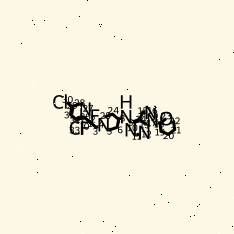 FC(F)(CN1CCC(Nc2ncnc3c2cnn3C2CCCCO2)CC1)c1ncc(Cl)cc1Cl